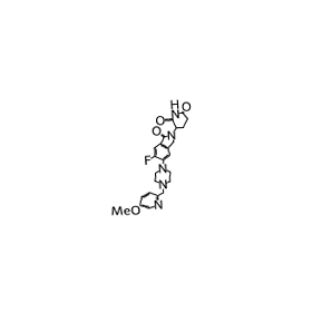 COc1ccc(CN2CCN(c3cc4c(cc3F)C(=O)N(C3CCC(=O)NC3=O)C4)CC2)nc1